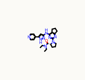 CCN(CC)C(=O)[C@H]1CCCN1c1nc2c(c(Nc3cc(-c4ccncc4)[nH]n3)n1)CCC2